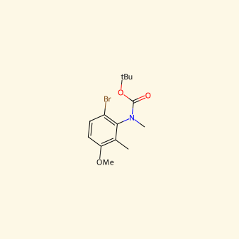 COc1ccc(Br)c(N(C)C(=O)OC(C)(C)C)c1C